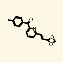 Cc1ccc(C(=O)c2cccc(/C=C/C3OCO3)n2)cc1